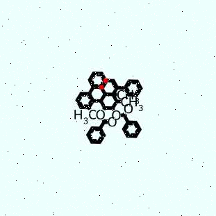 Cc1cccc(-c2ccccc2)c1C1C(OC(=O)c2ccccc2)C(OC(=O)c2ccccc2)C(C)C2(C)C(c3ccccc3)=CC=CC12